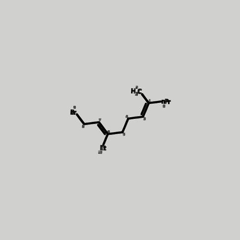 CCCC(C)=CCCC(=CCBr)CC